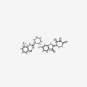 O=C1CCC(N2Cc3cc(C[C@H]4CCCC[C@@H]4NCc4c(F)cccc4F)ccc3C2=O)C(=O)N1